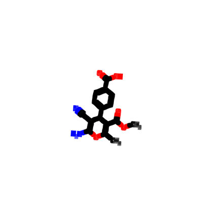 COC(=O)C1=C(C)OC(N)=C(C#N)C1c1ccc(C(=O)O)cc1